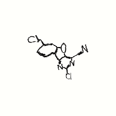 N#Cc1nc(Cl)nc2c1oc1cc(Cl)ccc12